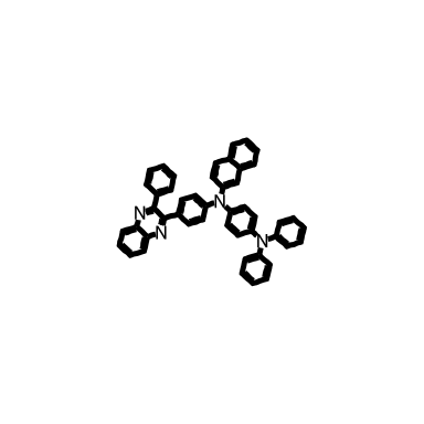 c1ccc(-c2nc3ccccc3nc2-c2ccc(N(c3ccc(N(c4ccccc4)c4ccccc4)cc3)c3ccc4ccccc4c3)cc2)cc1